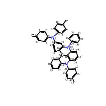 Cc1ccc(N(c2ccc(C)cc2)c2ccc3c(c2)N(c2ccccc2)c2cccc4c2B3c2ccccc2N4c2ccc(C)cc2)cc1